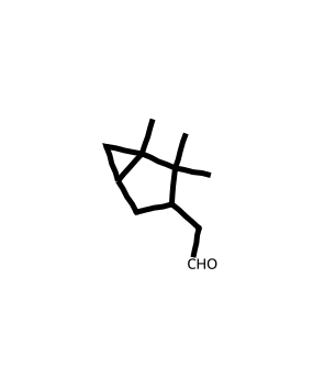 CC1(C)C(CC=O)CC2CC21C